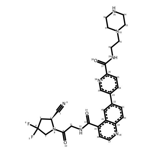 N#C[C@@H]1CC(F)(F)CN1C(=O)CNC(=O)c1ccnc2ccc(-c3ccc(C(=O)NCCN4CCNCC4)nc3)cc12